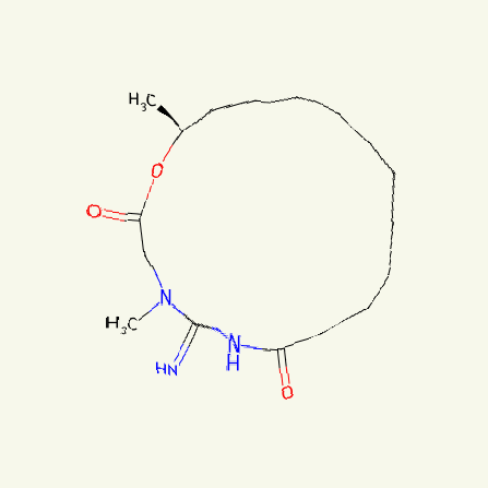 C[C@H]1CCCCCCCCCCC(=O)NC(=N)N(C)CC(=O)O1